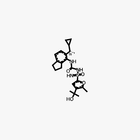 Cc1oc(S(=N)(=O)NC(=O)Nc2c([C@@H](C)C3CC3)ccc3c2CCC3)cc1C(C)(C)O